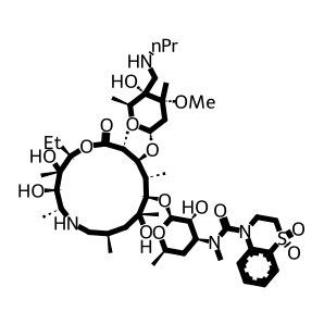 CCCNC[C@]1(O)[C@H](C)O[C@@H](O[C@H]2[C@H](C)[C@@H](O[C@@H]3O[C@H](C)C[C@H](N(C)C(=O)N4CCS(=O)(=O)c5ccccc54)[C@H]3O)[C@](C)(O)C[C@@H](C)CN[C@H](C)[C@@H](O)[C@](C)(O)[C@@H](CC)OC(=O)[C@@H]2C)C[C@@]1(C)OC